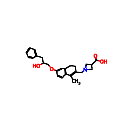 CC1=C(CN2CC(C(=O)O)C2)CCc2cc(OCC(O)Cc3ccccc3)ccc21